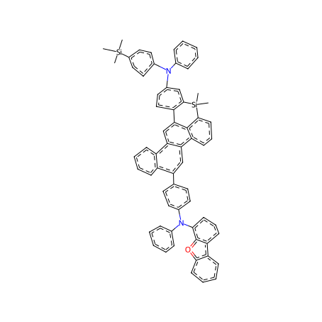 C[Si](C)(C)c1ccc(N(c2ccccc2)c2ccc3c(c2)[Si](C)(C)c2cccc4c2c-3cc2c3ccccc3c(-c3ccc(N(c5ccccc5)c5cccc6c5oc5ccccc56)cc3)cc42)cc1